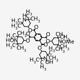 CON1C(C)(C)CC(OC(=O)c2cc(C(=O)OC3CC(C)(C)NC(C)(C)C3)c(C(=O)OC3CC(C)(C)N(O)C(C)(C)C3)cc2C(=O)OC2CC(C)(C)N(O)C(C)(C)C2)CC1(C)C